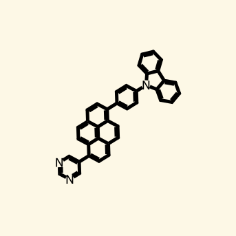 c1ccc2c(c1)c1ccccc1n2-c1ccc(-c2ccc3ccc4c(-c5cncnc5)ccc5ccc2c3c54)cc1